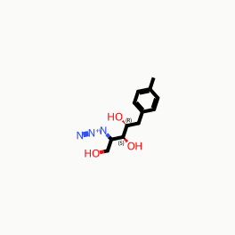 Cc1ccc(C[C@@H](O)[C@@H](O)C(CO)N=[N+]=[N-])cc1